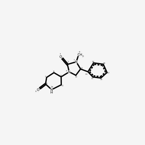 CN1C(=O)N(C2CCC(=O)NC2)CC1c1ccccc1